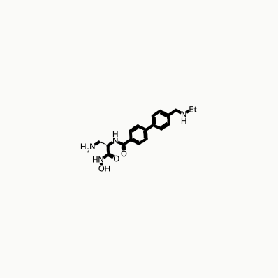 CCNCc1ccc(-c2ccc(C(=O)N[C@@H](CN)C(=O)NO)cc2)cc1